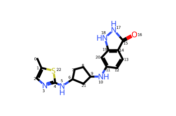 Cc1cnc(NC2CCC(Nc3ccc4c(=O)[nH][nH]c4c3)C2)s1